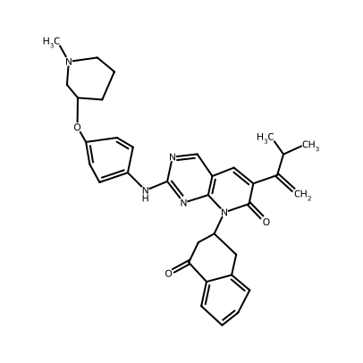 C=C(c1cc2cnc(Nc3ccc(OC4CCCN(C)C4)cc3)nc2n(C2CC(=O)c3ccccc3C2)c1=O)C(C)C